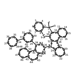 CC1(C)c2ccccc2Sc2c1c1ccccc1c1c3ccccc3n(-c3nc(-c4cccc(-c5ccccc5)c4)c4c(ccc5ccccc54)n3)c21